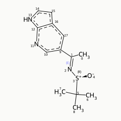 C/C(=N\[S@@+]([O-])C(C)(C)C)c1cnc2[nH]ccc2c1